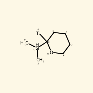 C[SiH](C)[C]1([Ti])CCCCO1